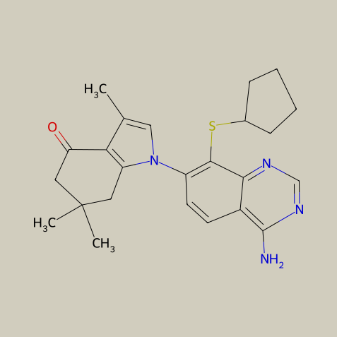 Cc1cn(-c2ccc3c(N)ncnc3c2SC2CCCC2)c2c1C(=O)CC(C)(C)C2